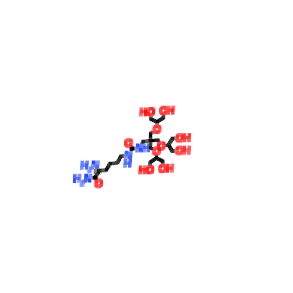 NC(=O)[C@H](N)CCCCNC(=O)NCC(COC(CO)CO)(COC(CO)CO)COC(CO)CO